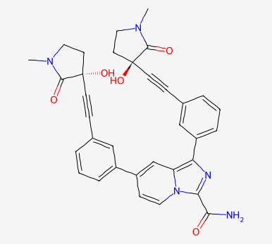 CN1CC[C@@](O)(C#Cc2cccc(-c3ccn4c(C(N)=O)nc(-c5cccc(C#C[C@]6(O)CCN(C)C6=O)c5)c4c3)c2)C1=O